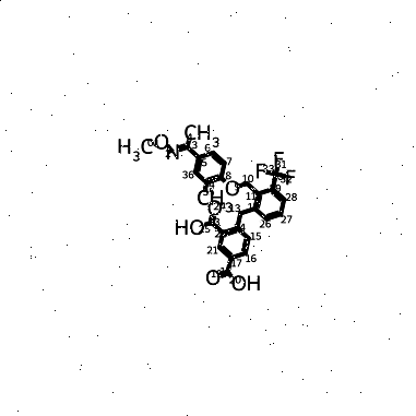 CON=C(C)c1ccc(OCc2c(Cc3ccc(C(=O)O)cc3C(=O)O)cccc2C(F)(F)F)c(C)c1